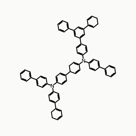 C1=CCCC(c2ccc(N(c3ccc(-c4ccccc4)cc3)c3ccc(C4C=CC(N(c5ccc(-c6ccccc6)cc5)c5ccc(-c6cc(C7=CCCC=C7)cc(-c7ccccc7)c6)cc5)=CC4)cc3)cc2)=C1